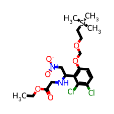 CCOC(=O)CNC(C[N+](=O)[O-])c1c(OCOCC[Si](C)(C)C)ccc(Cl)c1Cl